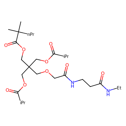 CCCC(C)(C)C(=O)OCC(COCC(=O)NCCC(=O)NCC)(COC(=O)C(C)C)COC(=O)C(C)C